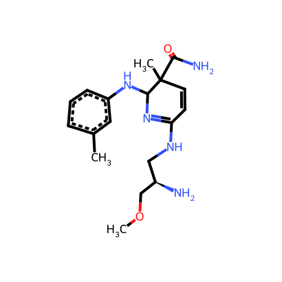 COC[C@H](N)CNC1=NC(Nc2cccc(C)c2)C(C)(C(N)=O)C=C1